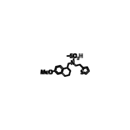 COc1ccc2c(c1)CCCC2CN(C)CCc1cccs1.CS(=O)(=O)O